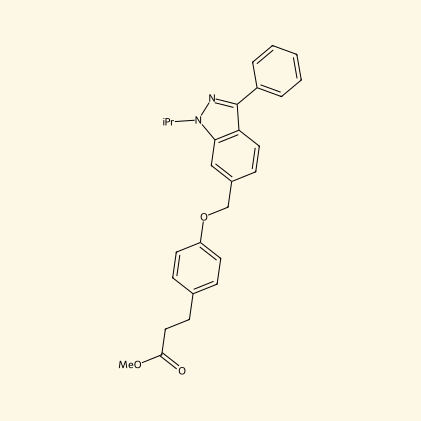 COC(=O)CCc1ccc(OCc2ccc3c(-c4ccccc4)nn(C(C)C)c3c2)cc1